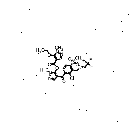 CCOc1c(C(=O)Oc2c(C(=O)c3ccc(S(C)(=O)=O)c(COCC(F)(F)F)c3Cl)cnn2C)cnn1C